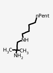 CCCCCCCCCNCC(C)(C)N